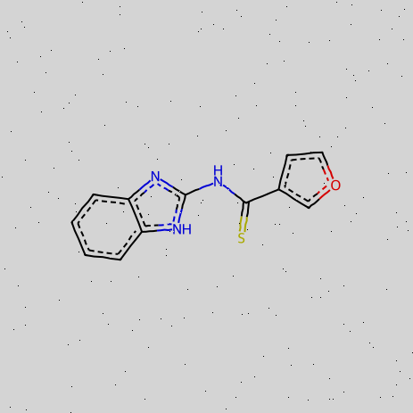 S=C(Nc1nc2ccccc2[nH]1)c1ccoc1